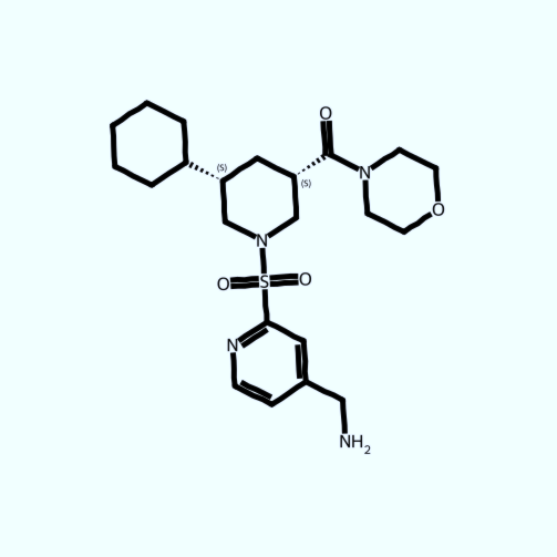 NCc1ccnc(S(=O)(=O)N2C[C@@H](C(=O)N3CCOCC3)C[C@@H](C3CCCCC3)C2)c1